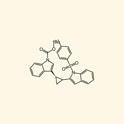 Cc1ccc(S(=O)(=O)n2c(C3C[C@H]3c3cn(C(=O)OC(C)(C)C)c4ccccc34)cc3ccccc32)cc1